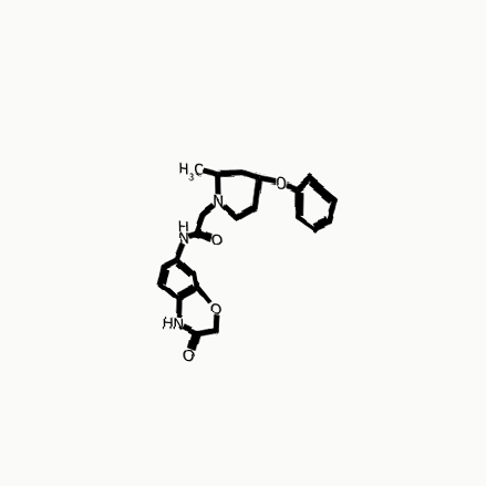 CC1CC(Oc2ccccc2)CCN1CC(=O)Nc1ccc2c(c1)OCC(=O)N2